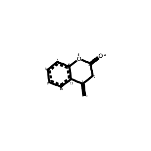 C=C1CC(=O)Oc2ccccc21